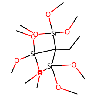 CCC([Si](OC)(OC)OC)([Si](OC)(OC)OC)[Si](OC)(OC)OC